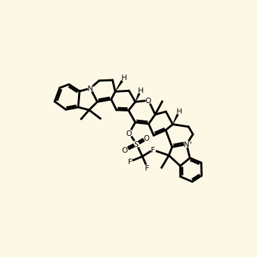 CC12C[C@@H]3CC[N+]4=C(C3=CC1=C(OS(=O)(=O)C(F)(F)F)C1=CC3=C5N(CC[C@@H]3C[C@@H]1O2)c1ccccc1C5(C)C)C(C)(C)c1ccccc14